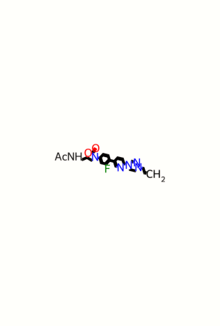 C=CCN1CCN(c2ccc(-c3ccc(N4CC(CNC(C)=O)OC4=O)cc3F)cn2)C=N1